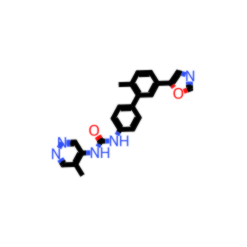 Cc1cnncc1NC(=O)Nc1ccc(-c2cc(-c3cnco3)ccc2C)cc1